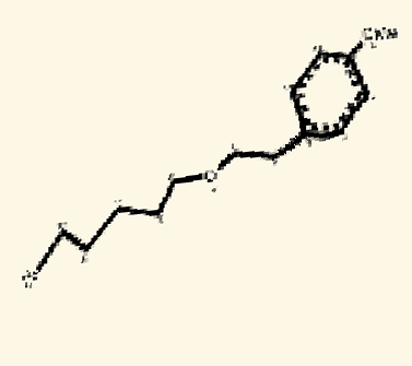 COc1ccc(CCOCCCCCC(C)=O)cc1